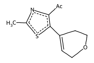 CC(=O)c1nc(C)sc1C1=CCOCC1